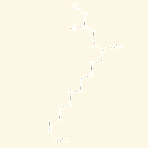 CCCCCC/C=C\CCCCCCCCCC(CCCCCC)OCC(O)CO